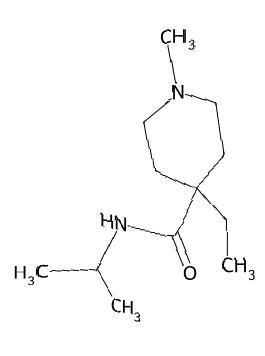 CCC1(C(=O)NC(C)C)CCN(C)CC1